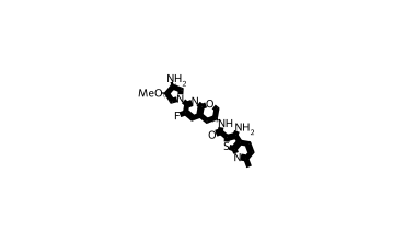 CO[C@H]1CN(c2nc3c(cc2F)C[C@@H](NC(=O)c2sc4nc(C)ccc4c2N)CO3)C[C@@H]1N